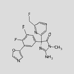 CN1C(=O)C(c2cc(F)c(F)c(-c3cnco3)c2)(c2cccc(CF)n2)N=C1N